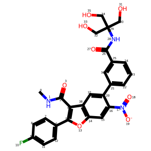 CNC(=O)c1c(-c2ccc(F)cc2)oc2cc([N+](=O)[O-])c(-c3cccc(C(=O)NC(CO)(CO)CO)c3)cc12